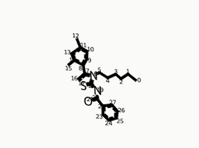 CCCCCCn1c(-c2ccc(C)cc2C)csc1=NC(=O)c1ccccc1